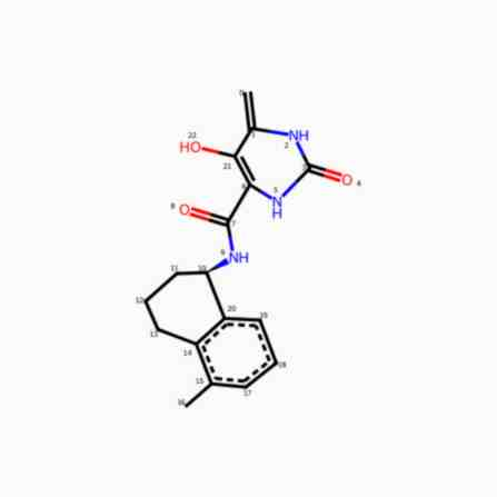 C=C1NC(=O)NC(C(=O)N[C@@H]2CCCc3c(C)cccc32)=C1O